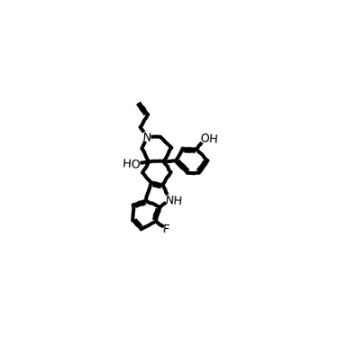 C=CCN1CCC2(c3cccc(O)c3)Cc3[nH]c4c(F)cccc4c3CC2(O)C1